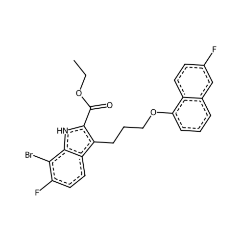 CCOC(=O)c1[nH]c2c(Br)c(F)ccc2c1CCCOc1cccc2cc(F)ccc12